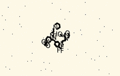 CS(=O)(=O)N1CCc2c(c(-c3ccc(C(F)(F)F)c(SCCN4CCOC[C@@H]4CO)c3)nn2CCCN2CCCCC2)C1